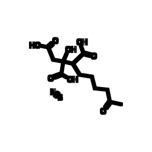 B#N.CC(=O)CCCCC(C(=O)O)C(O)(CC(=O)O)C(=O)O